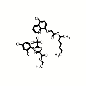 CCCCCC(C)OC(=O)COc1ccc(Cl)c2cccnc12.CCOC(=O)c1nc(C(Cl)(Cl)Cl)n(-c2ccc(Cl)cc2Cl)n1